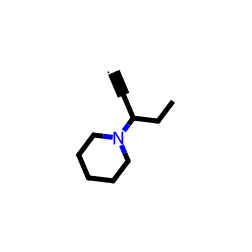 [C]#CC(CC)N1CCCCC1